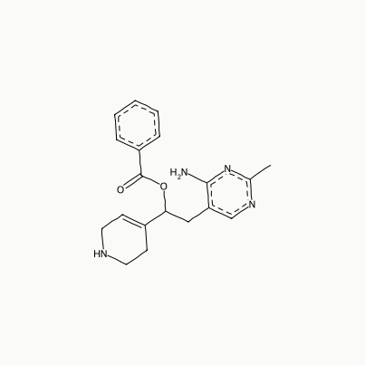 Cc1ncc(CC(OC(=O)c2ccccc2)C2=CCNCC2)c(N)n1